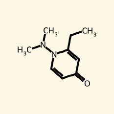 CCc1cc(=O)ccn1N(C)C